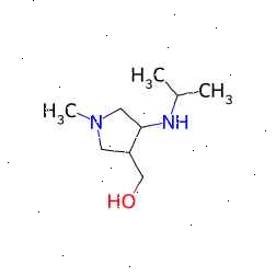 CC(C)NC1CN(C)CC1CO